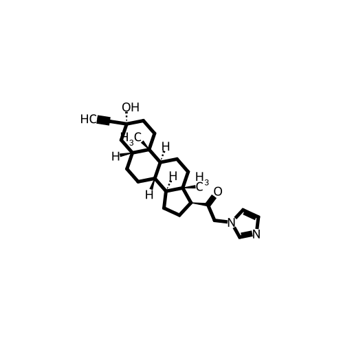 C#C[C@@]1(O)CC[C@@]2(C)[C@H](CC[C@@H]3[C@@H]2CC[C@]2(C)[C@@H](C(=O)Cn4ccnc4)CC[C@@H]32)C1